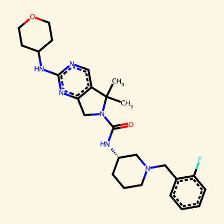 CC1(C)c2cnc(NC3CCOCC3)nc2CN1C(=O)N[C@H]1CCCN(Cc2ccccc2F)C1